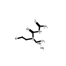 Br.Br.CCN(CCBr)C(=N)NC(N)=O